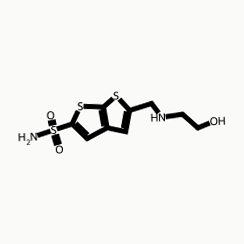 NS(=O)(=O)c1cc2cc(CNCCO)sc2s1